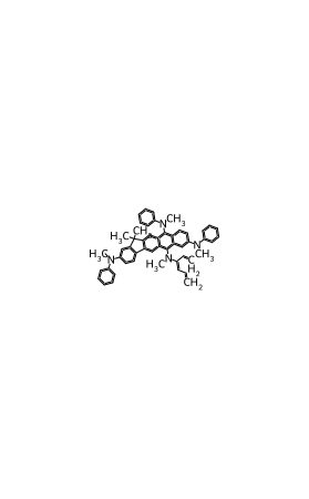 C=C/C=C(\C=C)N(C)c1c2cc(N(C)c3ccccc3)ccc2c(N(C)c2ccccc2)c2cc3c(cc12)-c1ccc(N(C)c2ccccc2)cc1C3(C)C